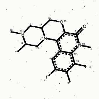 Cc1c(F)cc2c3c(c(=O)n(C)c2c1F)OCC1CN(C)C(C)CN31